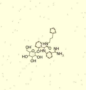 N=C(N)c1cccc(NC(C(=O)NCCCc2ccccc2)c2ccccc2OC2OC(CO)C(O)C(O)C2O)c1